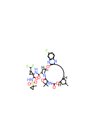 C[C@@H]1C[C@H]2CCCCCc3nc4ccc(F)cc4nc3O[C@@H]3C[C@@H](C(=O)N[C@]4(C(=O)NS(=O)(=O)C5(C)CC5)C[C@H]4C(F)F)N(C3)C(=O)[C@H](C(C)(C)C)NC(=O)O[C@@H]2C1